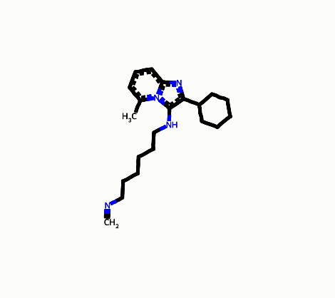 C=NCCCCCCNc1c(C2CCCCC2)nc2cccc(C)n12